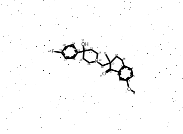 COc1ccc2c(c1)C(=O)C(C)(CN1CCC(O)(c3ccc(F)cc3)CC1)CC2